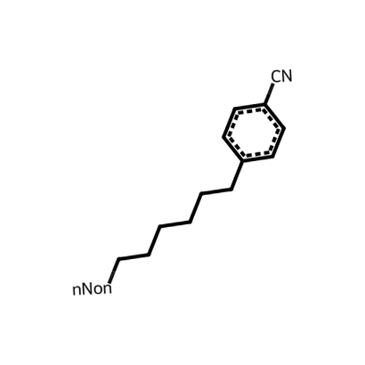 CCCCCCCCCCCCCCCc1ccc(C#N)cc1